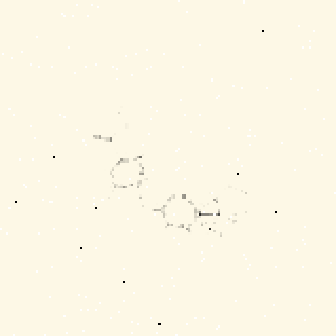 CC1(c2ccc(Oc3ccc(C(=O)NO)cc3F)cc2)C2CCCC1CCC2